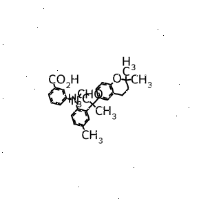 Cc1ccc(N(C=O)c2cccc(C(=O)O)c2)c(C(C)(C)c2ccc3c(c2)CCC(C)(C)O3)c1